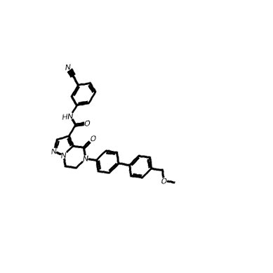 COCc1ccc(-c2ccc(N3CCn4ncc(C(=O)Nc5cccc(C#N)c5)c4C3=O)cc2)cc1